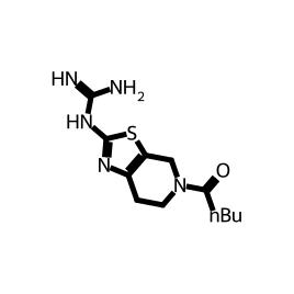 CCCCC(=O)N1CCc2nc(NC(=N)N)sc2C1